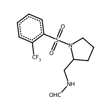 O=CNCC1CCCN1S(=O)(=O)c1ccccc1C(F)(F)F